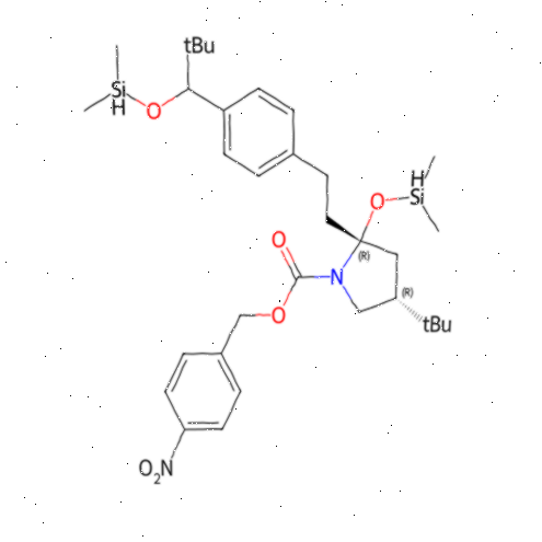 C[SiH](C)OC(c1ccc(CC[C@@]2(O[SiH](C)C)C[C@H](C(C)(C)C)CN2C(=O)OCc2ccc([N+](=O)[O-])cc2)cc1)C(C)(C)C